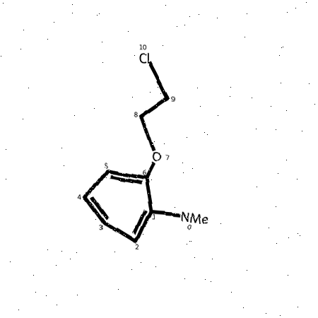 CNc1ccccc1OCCCl